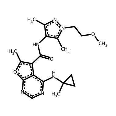 COCCn1nc(C)c(NC(=O)c2c(C)oc3ncnc(NC4(C)CC4)c23)c1C